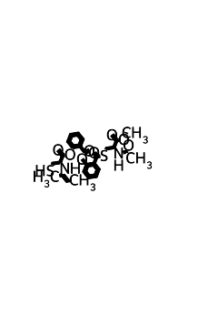 C/C=C(/C)NC(CS)C(=O)Oc1ccccc1C(=O)Oc1ccccc1C(=O)SCC(NC(C)=O)C(=O)OC